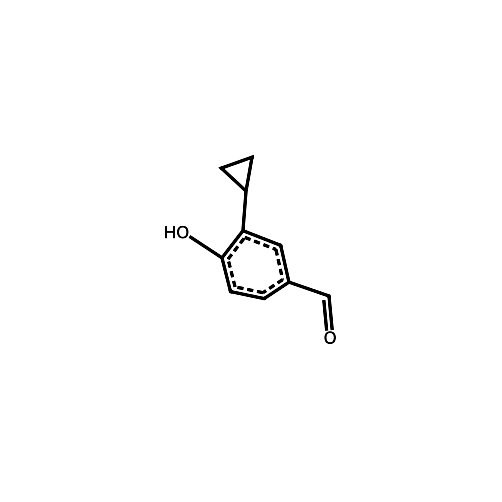 O=Cc1ccc(O)c(C2CC2)c1